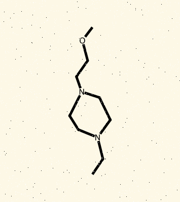 C[CH]N1CCN(CCOC)CC1